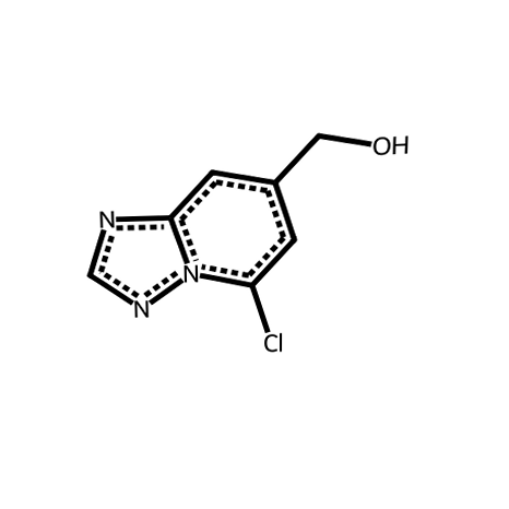 OCc1cc(Cl)n2ncnc2c1